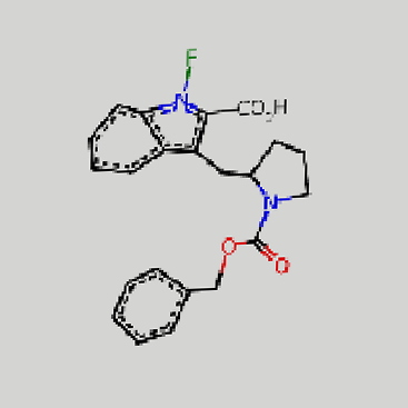 O=C(O)c1c(CC2CCCN2C(=O)OCc2ccccc2)c2ccccc2n1F